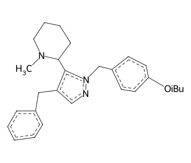 CC(C)COc1ccc(Cn2ncc(Cc3ccccc3)c2C2CCCCN2C)cc1